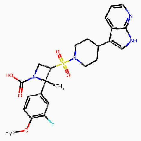 COc1ccc(C2(C)C(S(=O)(=O)N3CCC(c4c[nH]c5ncccc45)CC3)CN2C(=O)O)cc1F